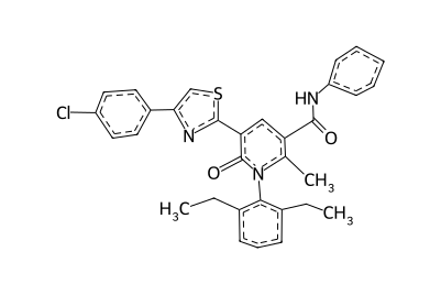 CCc1cccc(CC)c1-n1c(C)c(C(=O)Nc2ccccc2)cc(-c2nc(-c3ccc(Cl)cc3)cs2)c1=O